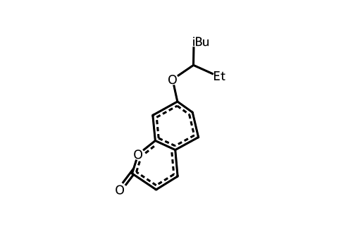 CCC(C)C(CC)Oc1ccc2ccc(=O)oc2c1